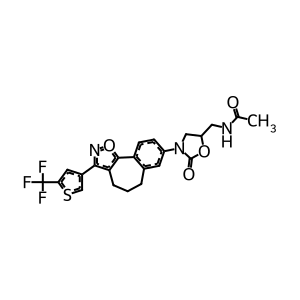 CC(=O)NCC1CN(c2ccc3c(c2)CCCc2c(-c4csc(C(F)(F)F)c4)noc2-3)C(=O)O1